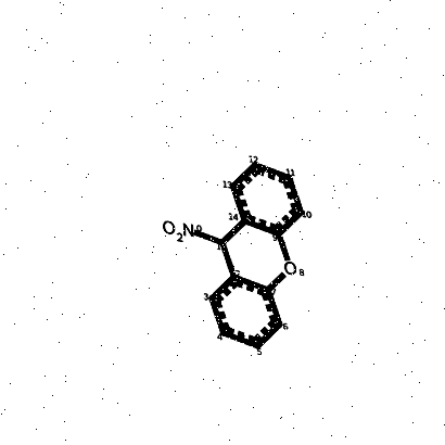 O=[N+]([O-])C1c2ccccc2Oc2ccccc21